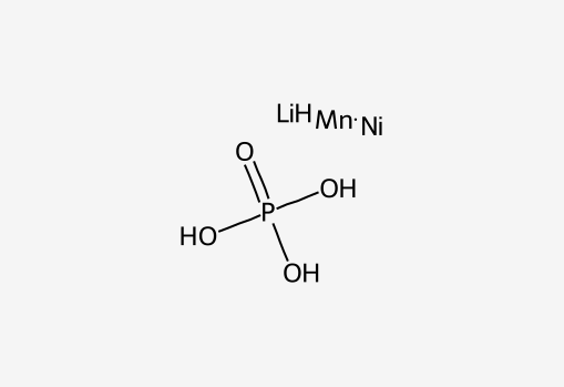 O=P(O)(O)O.[LiH].[Mn].[Ni]